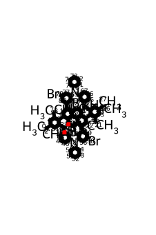 CC(C)c1cc(C(C)C)c(-c2cc3c4c(cc5c(-c6c(C(C)C)cc(C(C)C)cc6C(C)C)cc6c7c(cc2c4c57)B2c4ccccc4N(c4ccccc4)c4cc(Br)cc-6c42)B2c4ccccc4N(c4ccccc4)c4cc(Br)cc-3c42)c(C(C)C)c1